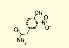 NC(Cl)Cc1ccc(O)c([N+](=O)[O-])c1